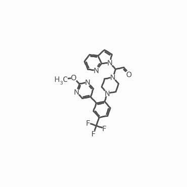 COc1ncc(-c2cc(C(F)(F)F)ccc2N2CCN(C(C=O)n3ccc4cccnc43)CC2)cn1